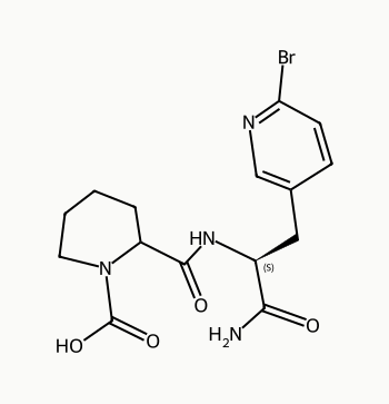 NC(=O)[C@H](Cc1ccc(Br)nc1)NC(=O)C1CCCCN1C(=O)O